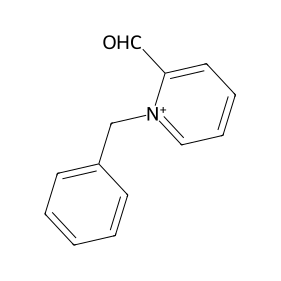 O=Cc1cccc[n+]1Cc1ccccc1